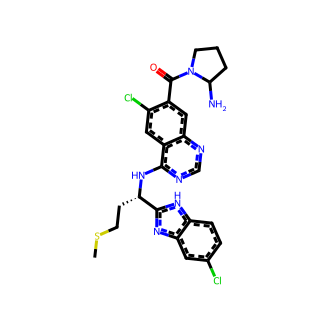 CSCC[C@H](Nc1ncnc2cc(C(=O)N3CCCC3N)c(Cl)cc12)c1nc2cc(Cl)ccc2[nH]1